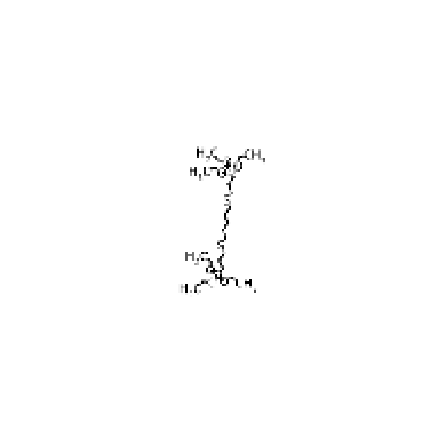 CCO[Si](CCCSCCCCCSCCC[Si](OCC)(OCC)OCC)(OCC)OCC